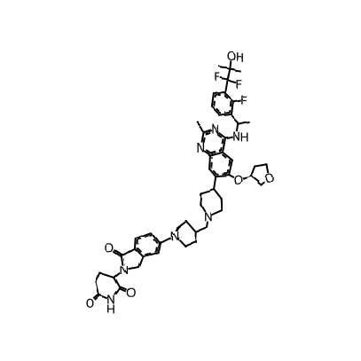 Cc1nc(NC(C)c2cccc(C(F)(F)C(C)(C)O)c2F)c2cc(O[C@H]3CCOC3)c(C3CCN(CC4CCN(c5ccc6c(c5)CN(C5CCC(=O)NC5=O)C6=O)CC4)CC3)cc2n1